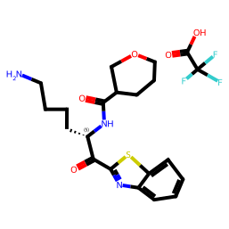 NCCCC[C@H](NC(=O)C1CCCOC1)C(=O)c1nc2ccccc2s1.O=C(O)C(F)(F)F